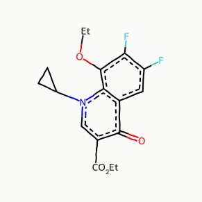 CCOC(=O)c1cn(C2CC2)c2c(OCC)c(F)c(F)cc2c1=O